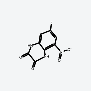 O=c1[nH]c2cc(F)cc([N+](=O)[O-])c2[nH]c1=O